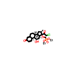 CCOP(=O)(CO[C@]1(C(=O)CCl)[C@H](C)C[C@H]2[C@@H]3CCC4=CC(=O)C=C[C@]4(C)C3[C@@H](O)C[C@@]21C)OCC